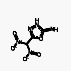 N=c1[nH]nc(C([N+](=O)[O-])[N+](=O)[O-])o1